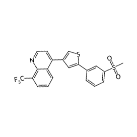 CS(=O)(=O)c1cccc(-c2cc(-c3ccnc4c(C(F)(F)F)cccc34)cs2)c1